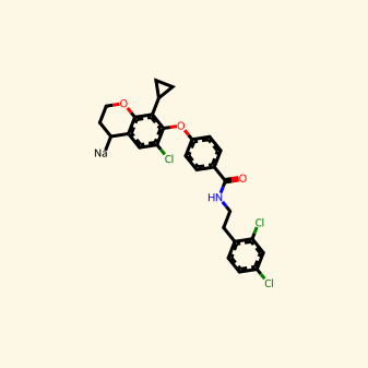 O=C(NCCc1ccc(Cl)cc1Cl)c1ccc(Oc2c(Cl)cc3c(c2C2CC2)OCC[CH]3[Na])cc1